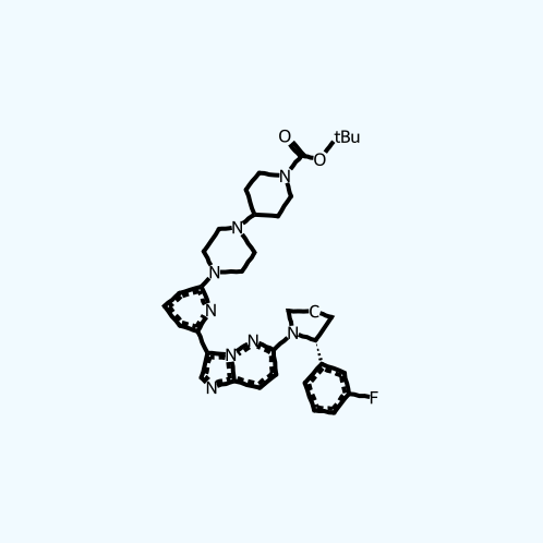 CC(C)(C)OC(=O)N1CCC(N2CCN(c3cccc(-c4cnc5ccc(N6CCC[C@@H]6c6cccc(F)c6)nn45)n3)CC2)CC1